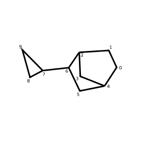 C1CC2CC1CC2C1CC1